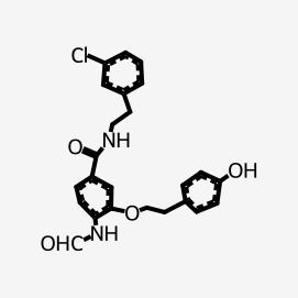 O=CNc1ccc(C(=O)NCCc2cccc(Cl)c2)cc1OCCc1ccc(O)cc1